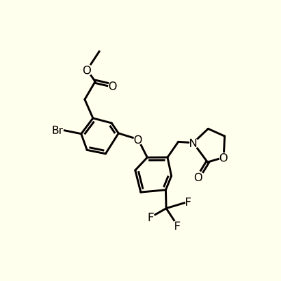 COC(=O)Cc1cc(Oc2ccc(C(F)(F)F)cc2CN2CCOC2=O)ccc1Br